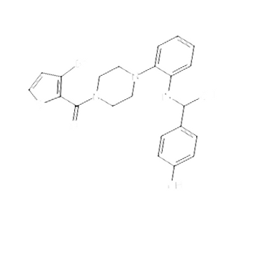 Cc1ccc(C(C)Nc2ccccc2N2CCN(C(=O)c3sccc3Br)CC2)cc1